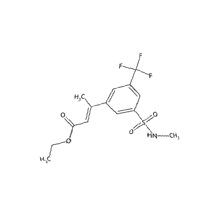 CCOC(=O)C=C(C)c1cc(C(F)(F)F)cc(S(=O)(=O)NC)c1